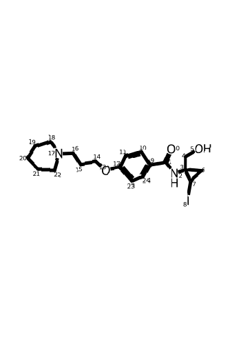 O=C(NC1(CO)CC1I)c1ccc(OCCCN2CCCCC2)cc1